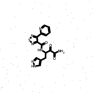 NC(=O)C(=O)C(Cc1cn[nH]c1)NC(=O)c1nsnc1-c1ccccn1